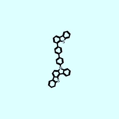 C1=Cc2c(sc3c2ccc2c3c3ccccc3n2-c2ccc(-c3ccc(-c4cccc5c4sc4ccccc45)cc3)cc2)CC1